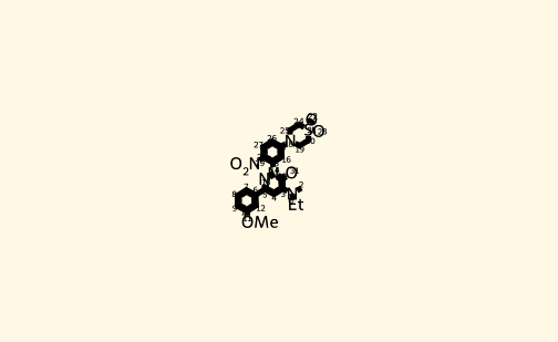 CCN(C)c1cc(-c2cccc(OC)c2)nn(-c2cc(N3CCS(=O)(=O)CC3)ccc2[N+](=O)[O-])c1=O